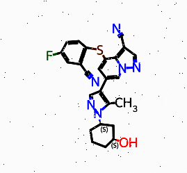 Cc1c(-c2cc(Sc3ccc(F)cc3C#N)c3c(C#N)cnn3c2)cnn1[C@H]1CCC[C@H](O)C1